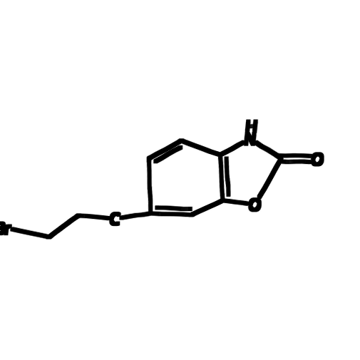 O=c1[nH]c2ccc(CCCBr)cc2o1